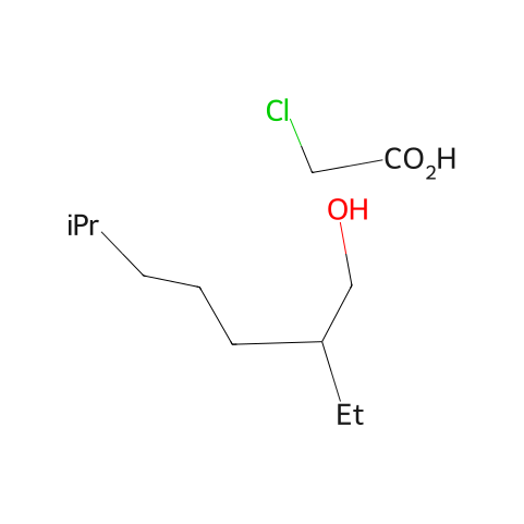 CCC(CO)CCCC(C)C.O=C(O)CCl